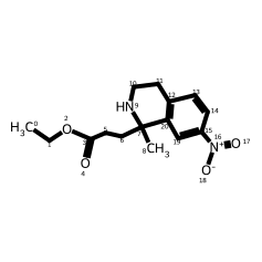 CCOC(=O)CCC1(C)NCCc2ccc([N+](=O)[O-])cc21